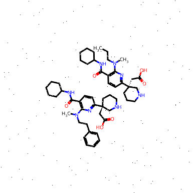 CCCN(C)c1nc([C@]2(CC(=O)O)CCCNC2)ccc1C(=O)NC1CCCCC1.CN(CCc1ccccc1)c1nc([C@]2(CC(=O)O)CCCNC2)ccc1C(=O)NC1CCCCC1